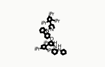 CC(C)c1cc(C(C)C)c(-c2cc(Nc3ccccc3Nc3ccccc3)cc(Oc3ccc4c5ccccc5n(-c5cc(-c6c(C(C)C)cc(C(C)C)cc6C(C)C)ccn5)c4c3)c2)c(C(C)C)c1